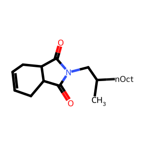 CCCCCCCCC(C)CN1C(=O)C2CC=CCC2C1=O